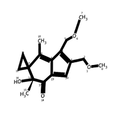 COCC1=C(COC)C2=C(C)C3(CC3)[C@@](C)(O)C(=O)C2=C1